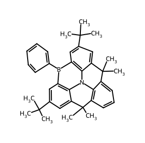 CC(C)(C)c1cc2c3c(c1)C(C)(C)c1cccc4c1N3c1c(cc(C(C)(C)C)cc1C4(C)C)B2c1ccccc1